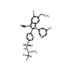 CCc1cc2c(cc1F)c(C#N)c(-c1ccc(S(=O)(=O)N[C@@H](C)C(F)(F)F)cn1)n2-c1cncc(Cl)c1